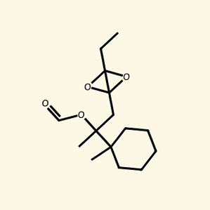 CCC12OC1(CC(C)(OC=O)C1(C)CCCCC1)O2